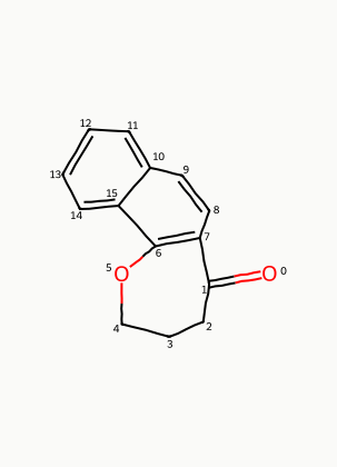 O=C1CCCOc2c1ccc1ccccc21